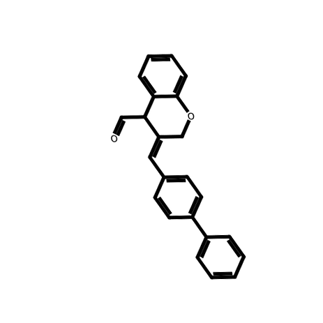 O=CC1C(=Cc2ccc(-c3ccccc3)cc2)COc2ccccc21